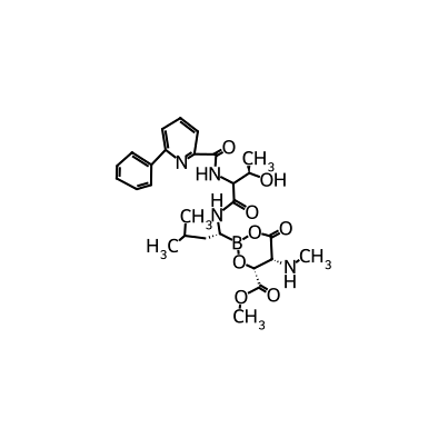 CN[C@H]1C(=O)OB([C@H](CC(C)C)NC(=O)C(NC(=O)c2cccc(-c3ccccc3)n2)[C@@H](C)O)O[C@H]1C(=O)OC